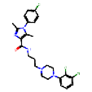 Cc1nc(C(=O)NCCCN2CCN(c3cccc(Cl)c3Cl)CC2)c(C)n1-c1ccc(Cl)cc1